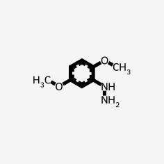 COc1ccc(OC)c(NN)c1